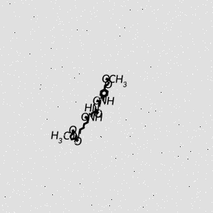 CC(=O)OCc1ccc(NC(=O)CNC(=O)CNC(=O)CCCCCN2C(=O)CC(C)C2=O)cc1